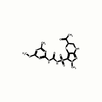 COc1nc(C)nc(NC(=O)NS(=O)(=O)c2c3c(nn2C)NCC(C(C)=O)S3)n1